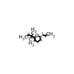 C=CC[C@@H]1CCC=C(C(C)(C)CC)O1